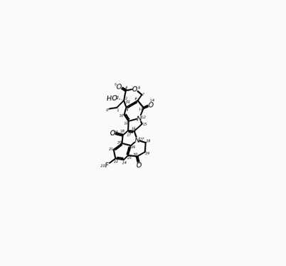 CC[C@@]1(O)C(=O)OCc2c1cc1n(c2=O)Cc2c-1c(=O)c1cc(F)cc3c1n2CCC3=O